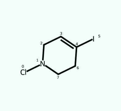 ClN1CC=C(I)CC1